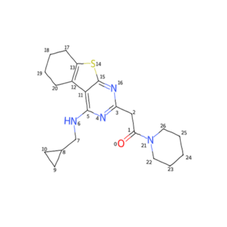 O=C(Cc1nc(NCC2CC2)c2c3c(sc2n1)CCCC3)N1CCCCC1